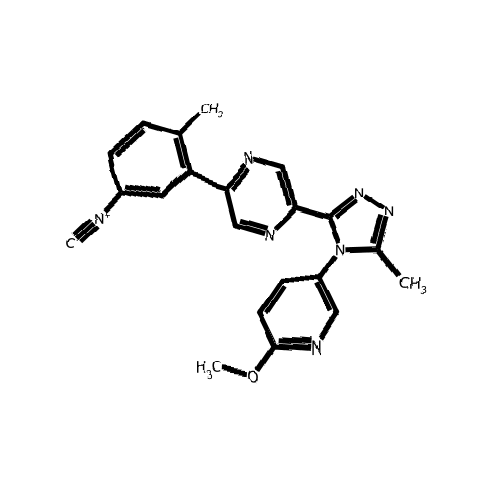 [C-]#[N+]c1ccc(C)c(-c2cnc(-c3nnc(C)n3-c3ccc(OC)nc3)cn2)c1